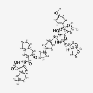 COc1ccc(S(=O)(=O)N(CC(C)C)C[C@@H](O)[C@H](Cc2ccc(N3CC[C@H](Oc4cc5ccccc5cc4C(=O)Nc4sc5c(c4C(=O)O)CC(C)(C)CC5)C3)cc2)NC(=O)O[C@H]2CO[C@@]3(C)OCC[C@@H]23)cc1